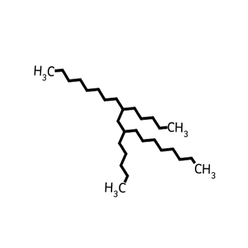 CCCCCCCCC(CCCCC)CC(CCCCC)CCCCCCCC